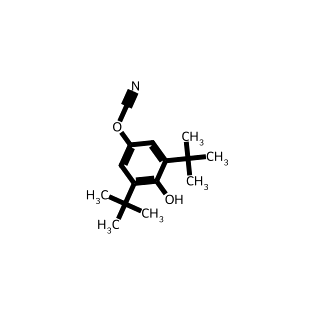 CC(C)(C)c1cc(OC#N)cc(C(C)(C)C)c1O